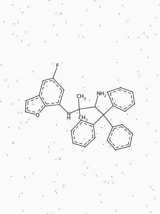 CC(C)(Nc1cc(F)cc2ccoc12)C(N)C(c1ccccc1)(c1ccccc1)c1ccccc1